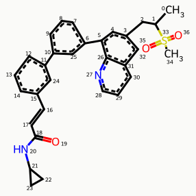 CC(Cc1cc(-c2cccc(-c3cccc(C=CC(=O)NC4CC4)c3)c2)c2ncccc2c1)S(C)(=O)=O